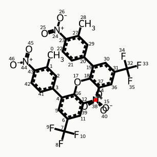 Cc1cc(-c2cc(C(F)(F)F)cc([N+](=O)[O-])c2Oc2c(-c3ccc([N+](=O)[O-])c(C)c3)cc(C(F)(F)F)cc2[N+](=O)[O-])ccc1[N+](=O)[O-]